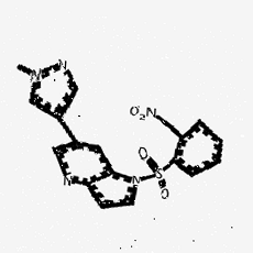 Cn1cc(-c2cnc3ccn(S(=O)(=O)c4ccccc4[N+](=O)[O-])c3c2)cn1